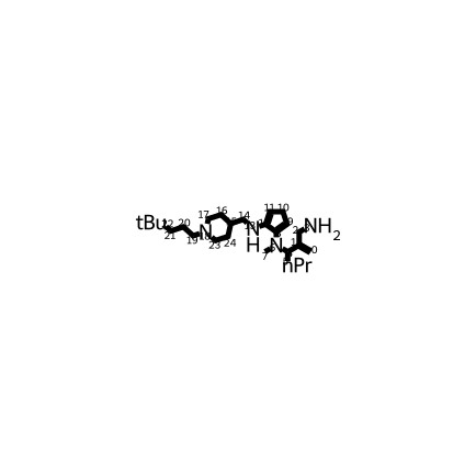 C=C(CN)C(CCC)N(C)C1=CCC=C1NCC1CCN(CCCC(C)(C)C)CC1